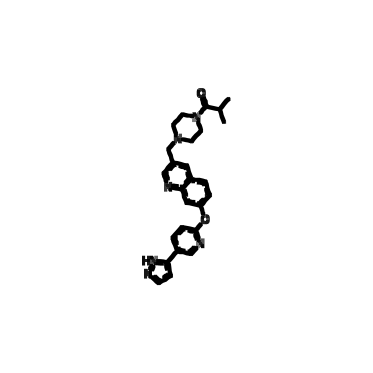 CC(C)C(=O)N1CCN(Cc2cnc3cc(Oc4ccc(-c5ccn[nH]5)cn4)ccc3c2)CC1